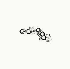 C[C@H](CN1CCN(c2ncccn2)CC1)[C@H]1CC[C@H]2[C@@H]3CC=C4C(C)(C)C(O)CC[C@]4(C)[C@H]3CC[C@]12C